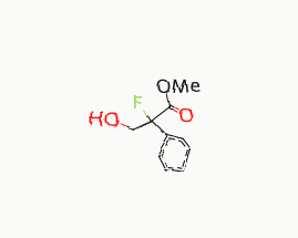 COC(=O)C(F)(CO)c1ccccc1